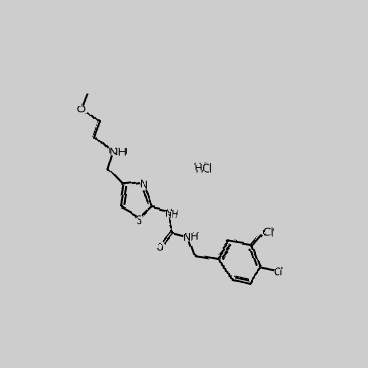 COCCNCc1csc(NC(=O)NCc2ccc(Cl)c(Cl)c2)n1.Cl